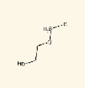 OCCO[SiH2]Cl